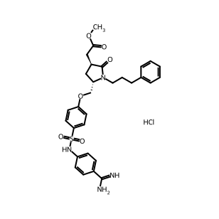 COC(=O)C[C@@H]1C[C@@H](COc2ccc(S(=O)(=O)Nc3ccc(C(=N)N)cc3)cc2)N(CCCc2ccccc2)C1=O.Cl